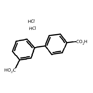 Cl.Cl.O=C(O)c1ccc(-c2cccc(C(=O)O)c2)cc1